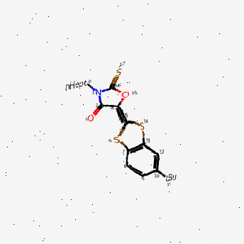 CCCCCCCN1C(=O)/C(=C2\Sc3ccc(C(C)(C)C)cc3S2)OC1=S